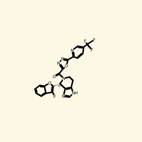 O=C(c1nnc(-c2ccc(C(F)(F)F)cn2)o1)N1CCc2[nH]cnc2[C@@H]1c1oc2ccccc2c1F